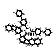 c1ccc(-c2ccc(C3=NC(c4ccc(-c5ccccc5)cc4)NC(c4c(-c5ccc6sc7ccccc7c6c5)ccc5oc6cc7ccccc7cc6c45)N3)cc2)cc1